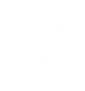 CC=CC(=O)C1CC(C)CC=C1CC